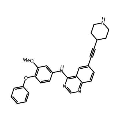 COc1cc(Nc2ncnc3ccc(C#CC4CCNCC4)cc23)ccc1Oc1ccccc1